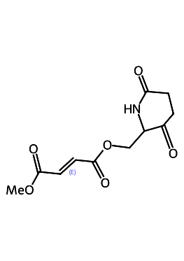 COC(=O)/C=C/C(=O)OCC1NC(=O)CCC1=O